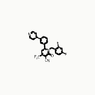 N#Cc1c(C(F)(F)F)cc(-c2cccc(-c3ccncc3)c2)n(Cc2ccc(F)cc2F)c1=O